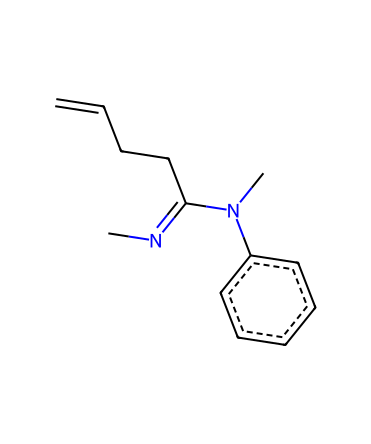 C=CCCC(=NC)N(C)c1ccccc1